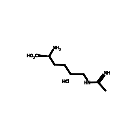 CC(=N)NCCCC[C@H](N)C(=O)O.Cl